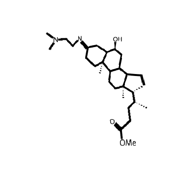 COC(=O)CC[C@@H](C)[C@H]1CCC2C3C[C@H](O)C4C/C(=N/CCN(C)C)CC[C@]4(C)C3CC[C@@]21C